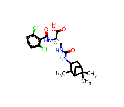 CC1C(NC(=O)NC[C@H](NC(=O)c2c(Cl)cccc2Cl)C(=O)O)CC2CC1C2(C)C